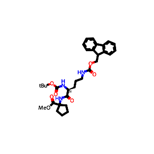 COC(=O)C1(NC(=O)[C@H](CCCNC(=O)OCC2c3ccccc3-c3ccccc32)NC(=O)OC(C)(C)C)CCCC1